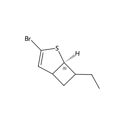 CCC1CC2C=C(Br)S[C@H]21